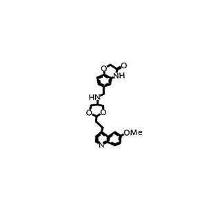 COc1ccc2nccc(CCC3OCC(NCc4ccc5c(c4)NC(=O)CO5)CO3)c2c1